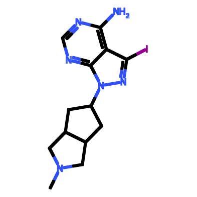 CN1CC2CC(n3nc(I)c4c(N)ncnc43)CC2C1